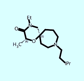 CCN1C[C@@]2(CCCN(CCC(C)C)CC2)O[C@H](C)C1=O